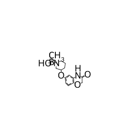 CB(O)N1CCC[C@@H](Oc2ccc3c(c2)NC(=O)CO3)C1